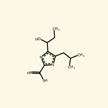 CCC(O)c1nc(C(=N)S)sc1CC(C)C